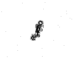 CN1C(=O)c2cc(C(=O)NCc3ccccn3)nn2C[C@@]1(C)C(=O)NC1CCCCCC1